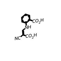 N#C/C(=C/Nc1ccccc1C(=O)O)C(=O)O